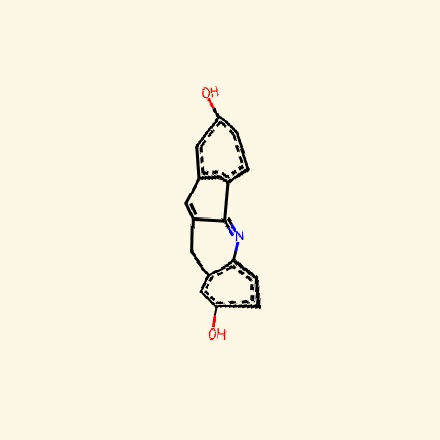 Oc1ccc2c(c1)C=C1Cc3cc(O)ccc3N=C12